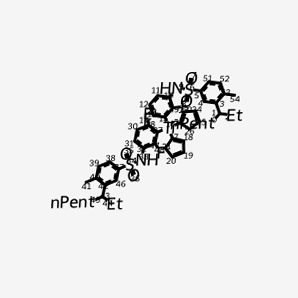 CCCCCC(CC)c1cc(S(=O)(=O)Nc2ccc(F)[c]([Ti]([C]3=CC=CC3)([C]3=CC=CC3)[c]3c(F)ccc(NS(=O)(=O)c4ccc(C)c(C(CC)CCCCC)c4)c3F)c2F)ccc1C